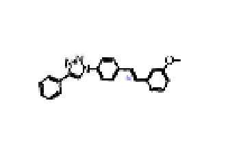 COc1cccc(/C=C/c2ccc(-n3cc(-c4ccccc4)nn3)cc2)c1